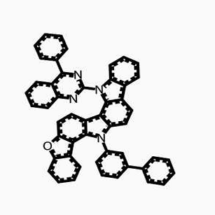 c1ccc(-c2cccc(-n3c4ccc5c6ccccc6n(-c6nc(-c7ccccc7)c7ccccc7n6)c5c4c4ccc5oc6ccccc6c5c43)c2)cc1